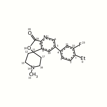 CCc1ccc(-c2cnc3c(c2)C2(CCN(C)CC2)OC3=O)cc1F